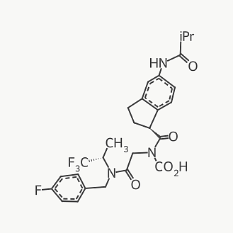 CC(C)C(=O)Nc1ccc2c(c1)CC[C@@H]2C(=O)N(CC(=O)N(Cc1ccc(F)cc1)[C@@H](C)C(F)(F)F)C(=O)O